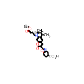 CC1CC(C)(C)N(CCCC(=O)OC(C)(C)C)c2cc3oc(=O)c(-c4nc5c(o4)CCC(C(=O)O)=C5)cc3cc21